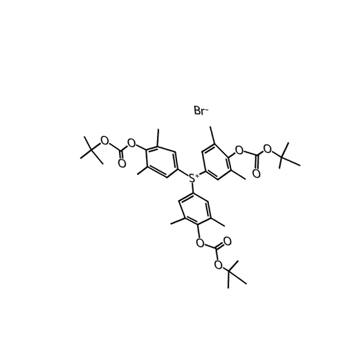 Cc1cc([S+](c2cc(C)c(OC(=O)OC(C)(C)C)c(C)c2)c2cc(C)c(OC(=O)OC(C)(C)C)c(C)c2)cc(C)c1OC(=O)OC(C)(C)C.[Br-]